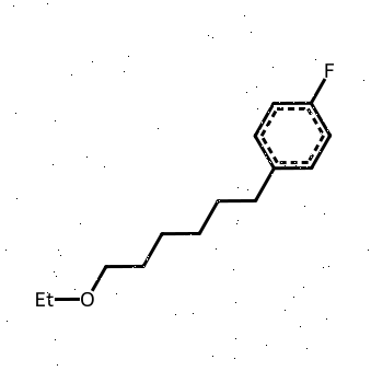 [CH2]COCCCCCCc1ccc(F)cc1